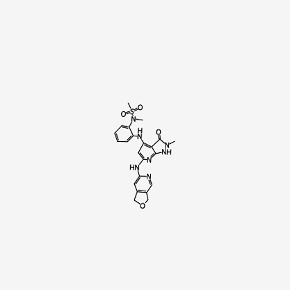 CN(c1ccccc1Nc1cc(Nc2cc3c(cn2)COC3)nc2[nH]n(C)c(=O)c12)S(C)(=O)=O